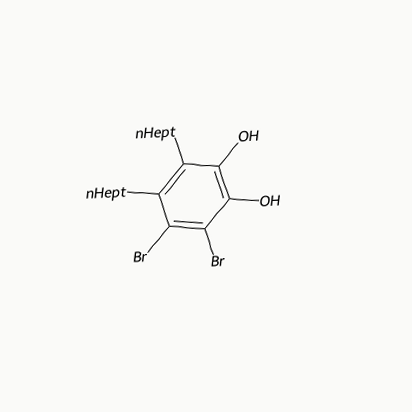 CCCCCCCc1c(O)c(O)c(Br)c(Br)c1CCCCCCC